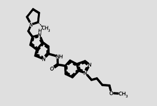 COCCCCn1ncc2cc(C(=O)Nc3cc4[nH]c(CN5CCC[C@@H]5C)cc4cn3)ccc21